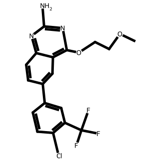 COCCOc1nc(N)nc2ccc(-c3ccc(Cl)c(C(F)(F)F)c3)cc12